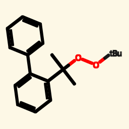 CC(C)(C)OOC(C)(C)c1ccccc1-c1ccccc1